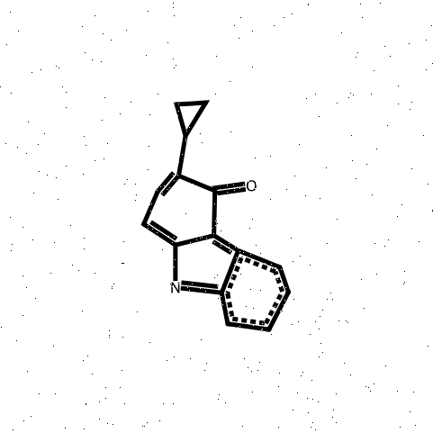 O=C1C(C2CC2)=CC=C2N=c3ccccc3=C12